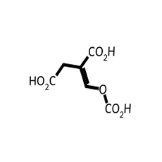 O=C(O)CC(=COC(=O)O)C(=O)O